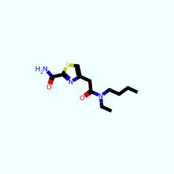 CCCCN(CC)C(=O)Cc1csc(C(N)=O)n1